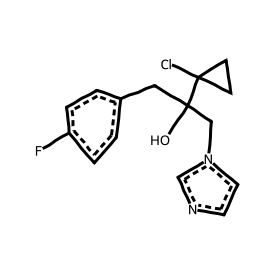 OC(Cc1ccc(F)cc1)(Cn1ccnc1)C1(Cl)CC1